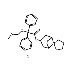 CSCOC(C(=O)OC1CC2CCC(C1)[N+]21CCCC1)(c1ccccc1)c1ccccc1.[Cl-]